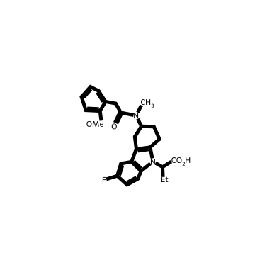 CCC(C(=O)O)n1c2c(c3cc(F)ccc31)CC(N(C)C(=O)Cc1ccccc1OC)CC2